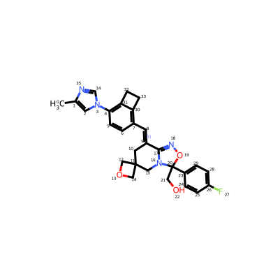 Cc1cn(-c2ccc(/C=C3\CC4(COC4)CN4C3=NOC4(CO)c3ccc(F)cc3)c3c2CC3)cn1